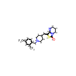 O=c1sc(=CC2CCN(Cc3ccc(C(F)(F)F)cc3C(F)(F)F)CC2)c2n1CCCN=2